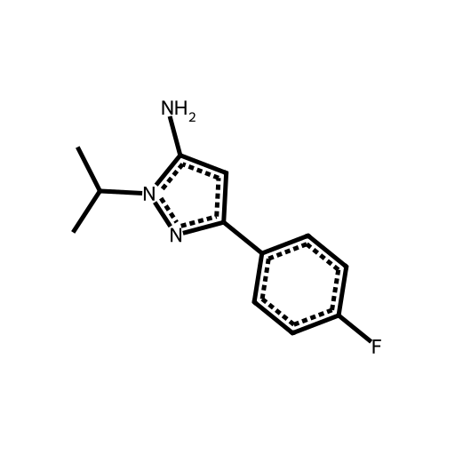 CC(C)n1nc(-c2ccc(F)cc2)cc1N